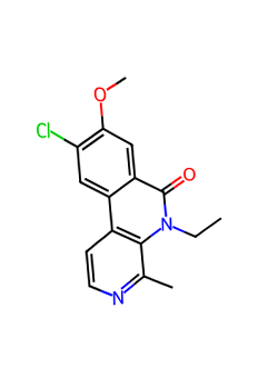 CCn1c(=O)c2cc(OC)c(Cl)cc2c2ccnc(C)c21